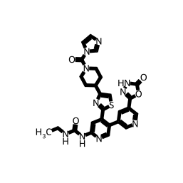 CCNC(=O)Nc1cc(-c2nc(C3CCN(C(=O)n4ccnc4)CC3)cs2)c(-c2cncc(-c3n[nH]c(=O)o3)c2)cn1